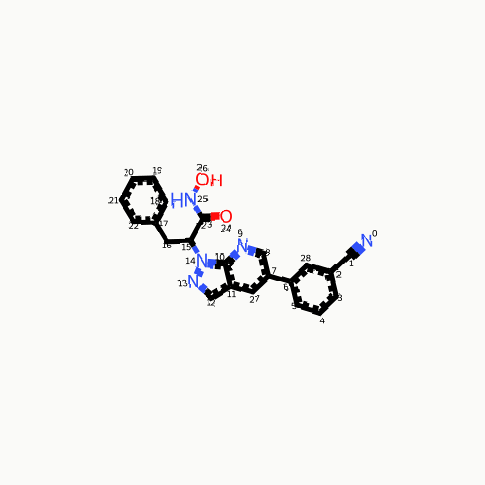 N#Cc1cccc(-c2cnc3c(cnn3C(Cc3ccccc3)C(=O)NO)c2)c1